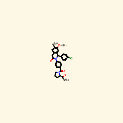 CC[C@@H](C)Oc1cc2c(cc1OC)CC(=O)N(c1ccc(C(=O)N3CCC[C@@H]3C(=O)NC)cc1)C2c1ccc(Cl)cc1